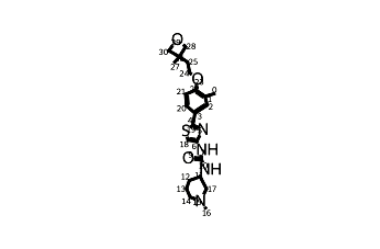 Cc1cc(-c2nc(NC(=O)NC3CCCN(C)C3)cs2)ccc1OCCC1(C)COC1